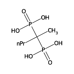 CCCC(C)(P(=O)(O)O)P(=O)(O)O